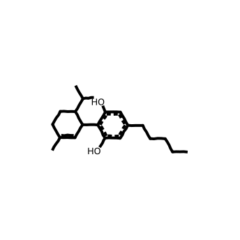 CCCCCc1cc(O)c(C2C=C(C)CCC2C(C)C)c(O)c1